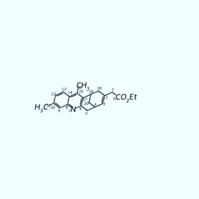 CCOC(=O)CC1=CC2Cc3nc4cc(C)ccc4c(C)c3C(C1)C2